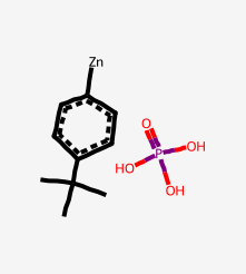 CC(C)(C)c1cc[c]([Zn])cc1.O=P(O)(O)O